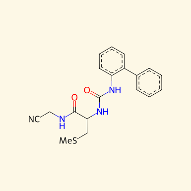 CSCC(NC(=O)Nc1ccccc1-c1ccccc1)C(=O)NCC#N